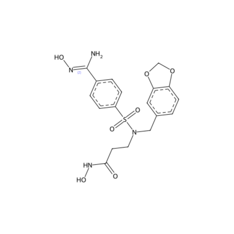 N/C(=N\O)c1ccc(S(=O)(=O)N(CCC(=O)NO)Cc2ccc3c(c2)OCO3)cc1